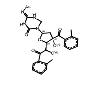 CC(=O)N=C1NCN([C@H]2C[C@@](O)(C(=O)c3ccccc3C)[C@@H](C(O)C(=O)c3ccccc3C)O2)C(=O)N1